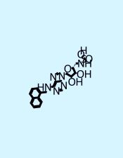 O=[SH](=O)NC[C@H]1O[C@@H](n2cnc3c(NCc4cccc5ccccc45)ncnc32)[C@H](O)[C@@H]1O